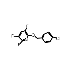 Fc1cc(F)c(OCc2ccc(Cl)cc2)nc1F